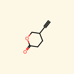 C#CC1CCC(=O)OC1